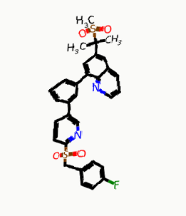 CC(C)(c1cc(-c2cccc(-c3ccc(S(=O)(=O)Cc4ccc(F)cc4)nc3)c2)c2ncccc2c1)S(C)(=O)=O